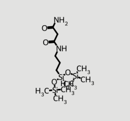 C[Si](C)(C)O[Si](C)(CCCNC(=O)CC(N)=O)O[Si](C)(C)C